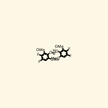 COc1cc(F)c(F)c(OC)c1OBOc1c(OC)cc(F)c(F)c1OC